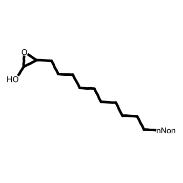 CCCCCCCCCCCCCCCCCCCC1OC1O